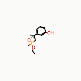 CCOP(C)(=O)C[C@@H](C)c1cccc(O)c1